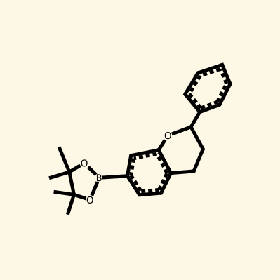 CC1(C)OB(c2ccc3c(c2)OC(c2ccccc2)CC3)OC1(C)C